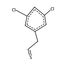 S=[C]Cc1cc(Cl)cc(Cl)c1